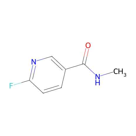 CNC(=O)c1ccc(F)nc1